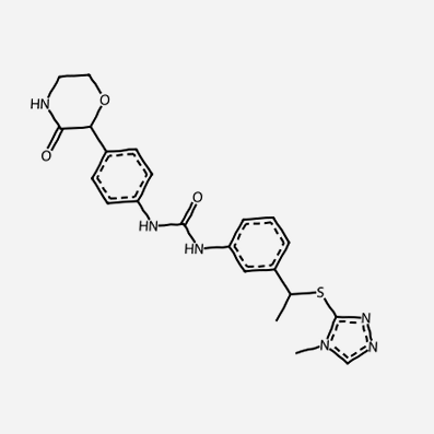 CC(Sc1nncn1C)c1cccc(NC(=O)Nc2ccc(C3OCCNC3=O)cc2)c1